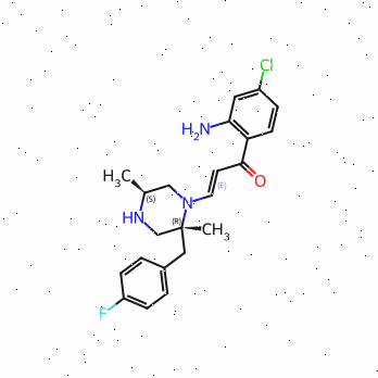 C[C@H]1CN(/C=C/C(=O)c2ccc(Cl)cc2N)[C@](C)(Cc2ccc(F)cc2)CN1